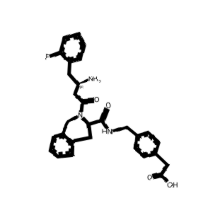 N[C@@H](CC(=O)N1Cc2ccccc2CC1C(=O)NCc1ccc(CC(=O)O)cc1)Cc1ccccc1F